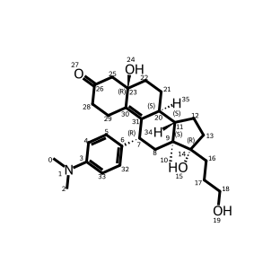 CN(C)c1ccc([C@H]2C[C@@]3(C)[C@@H](CC[C@@]3(O)CCCO)[C@@H]3CC[C@@]4(O)CC(=O)CCC4=C32)cc1